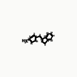 Cc1ccc(CC2=CCc3ccccc32)cc1